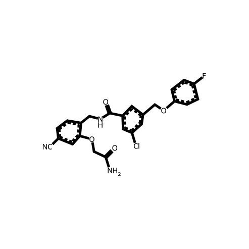 N#Cc1ccc(CNC(=O)c2cc(Cl)cc(COc3ccc(F)cc3)c2)c(OCC(N)=O)c1